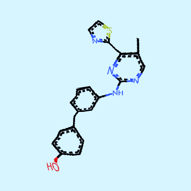 Cc1cnc(Nc2cccc(-c3ccc(O)cc3)c2)nc1-c1nccs1